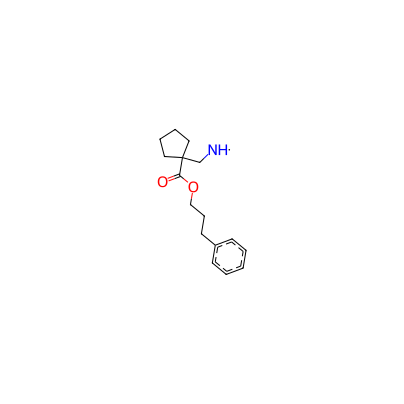 [NH]CC1(C(=O)OCCCc2ccccc2)CCCC1